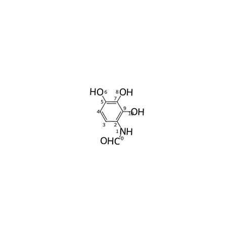 O=CNc1ccc(O)c(O)c1O